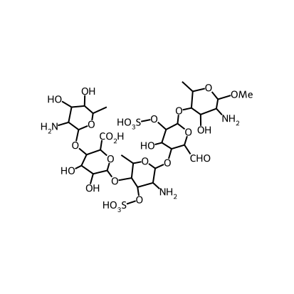 COC1OC(C)C(OC2OC(C=O)C(OC3OC(C)C(OC4OC(C(=O)O)C(OC5OC(C)C(O)C(O)C5N)C(O)C4O)C(OS(=O)(=O)O)C3N)C(O)C2OS(=O)(=O)O)C(O)C1N